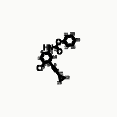 O=C(Nc1ccc(Cl)c(C#CC2CC2)c1)Oc1ccccc1